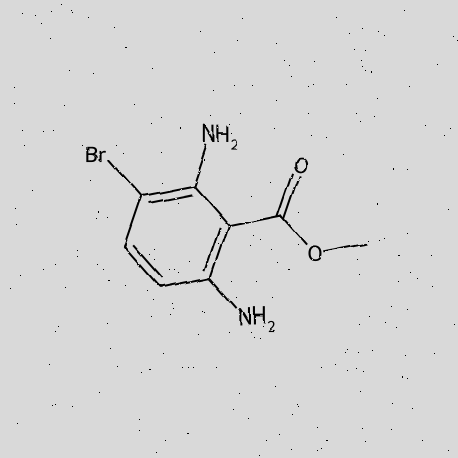 COC(=O)c1c(N)ccc(Br)c1N